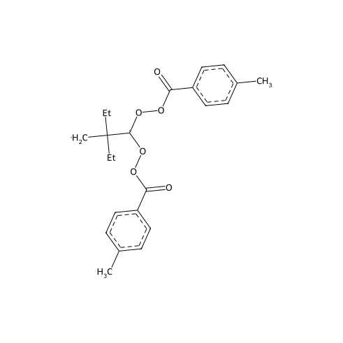 [CH2]C(CC)(CC)[C](OOC(=O)c1ccc(C)cc1)OOC(=O)c1ccc(C)cc1